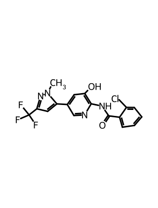 Cn1nc(C(F)(F)F)cc1-c1cnc(NC(=O)c2ccccc2Cl)c(O)c1